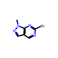 CC(C)c1ncc2cnn(C)c2n1